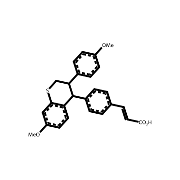 COc1ccc(C2CSc3cc(OC)ccc3C2c2ccc(C=CC(=O)O)cc2)cc1